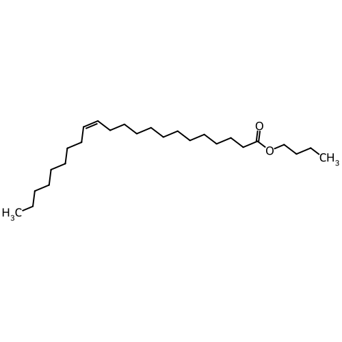 CCCCCCCC/C=C\CCCCCCCCCCCC(=O)OCCCC